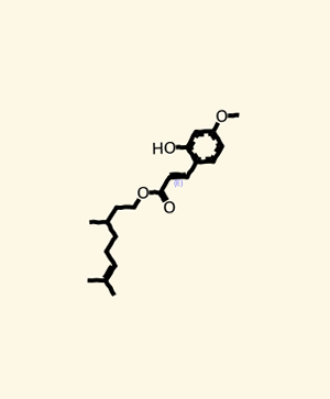 COc1ccc(/C=C/C(=O)OCCC(C)CCC=C(C)C)c(O)c1